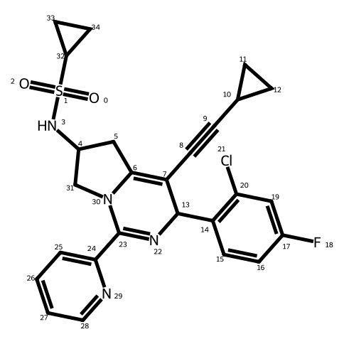 O=S(=O)(NC1CC2=C(C#CC3CC3)C(c3ccc(F)cc3Cl)N=C(c3ccccn3)N2C1)C1CC1